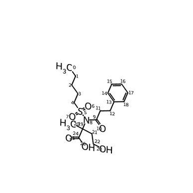 CCCCCS(=O)(=O)N(C(=O)CCc1ccccc1)C(C)(CCO)C(=O)O